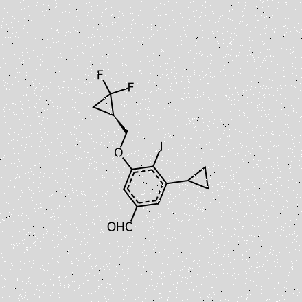 O=Cc1cc(OC[C@H]2CC2(F)F)c(I)c(C2CC2)c1